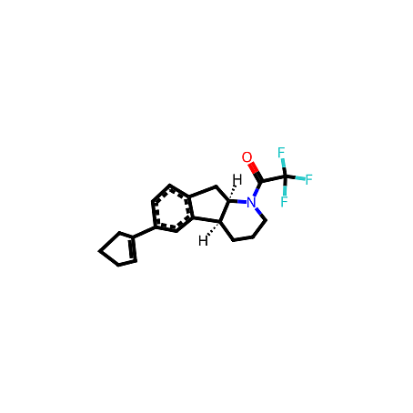 O=C(N1CCC[C@H]2c3cc(C4=CCCC4)ccc3C[C@H]21)C(F)(F)F